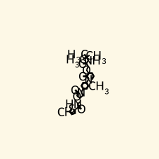 Cc1cc(N2C[C@H](CNC(=O)c3ccc(Cl)s3)OC2=O)ccc1-n1cccc(OCC(=O)NC(C)(C)C)c1=O